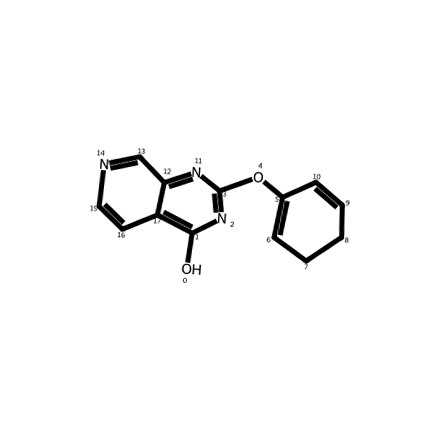 Oc1nc(OC2=CCCC=C2)nc2cnccc12